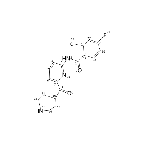 O=C(Nc1cccc(C(=O)C2CCNCC2)n1)c1ccc(F)cc1Cl